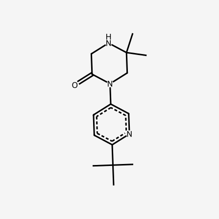 CC1(C)CN(c2ccc(C(C)(C)C)nc2)C(=O)CN1